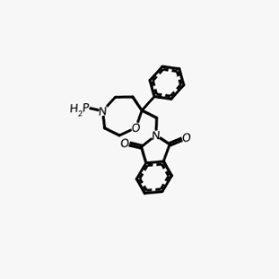 O=C1c2ccccc2C(=O)N1CC1(c2ccccc2)CCN(P)CCO1